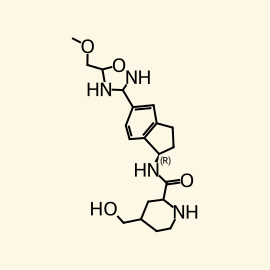 COCC1NC(c2ccc3c(c2)CC[C@H]3NC(=O)C2CC(CO)CCN2)NO1